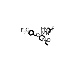 C=CC(=O)N1CC[C@H](OCc2ccc(C(F)(F)F)cc2)[C@@H](Nc2ncc(F)cn2)C1